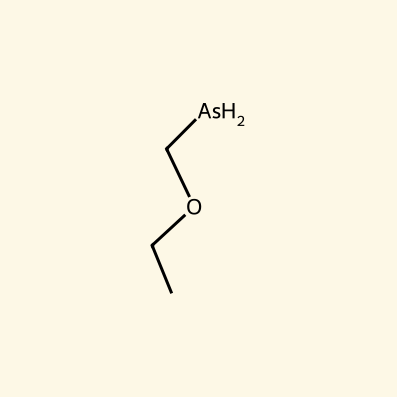 CCOC[AsH2]